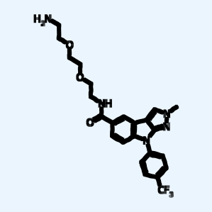 Cn1cc2c3cc(C(=O)NCCOCCOCCN)ccc3n(-c3ccc(C(F)(F)F)cc3)c2n1